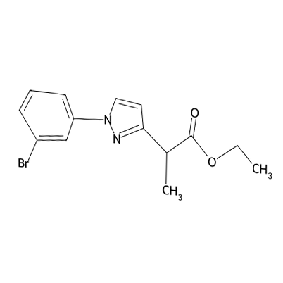 CCOC(=O)C(C)c1ccn(-c2cccc(Br)c2)n1